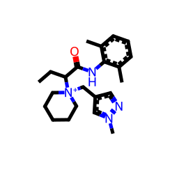 CCC(C(=O)Nc1c(C)cccc1C)[N+]1(Cc2cnn(C)c2)CCCCC1